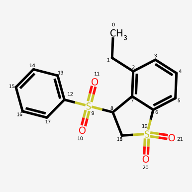 CCc1cccc2c1C(S(=O)(=O)c1ccccc1)CS2(=O)=O